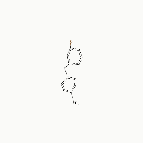 Cc1ccc(Cc2[c]ccc(Br)c2)cc1